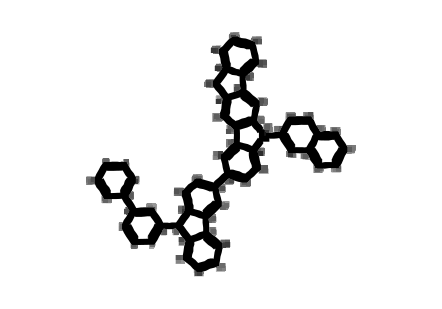 c1ccc(-c2cccc(C3c4ccccc4-c4cc(-c5ccc6c(c5)c5cc7c(cc5n6-c5ccc6ccccc6c5)-c5ccccc5C7)ccc43)c2)cc1